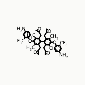 Cc1c(CC2CO2)c(-c2c(CC3CO3)c(C)c(Oc3ccc(N)cc3C(F)(F)F)c(C)c2CC2CO2)c(CC2CO2)c(C)c1Oc1ccc(N)cc1C(F)(F)F